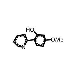 COc1ccc(-c2ccccn2)c(O)c1